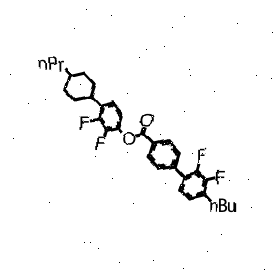 CCCCc1ccc(-c2ccc(C(=O)Oc3ccc(C4CCC(CCC)CC4)c(F)c3F)cc2)c(F)c1F